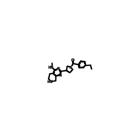 CCc1ccc(C(=O)N2CCC(c3nc4c(c(NC)n3)CCNC4)C2)cc1